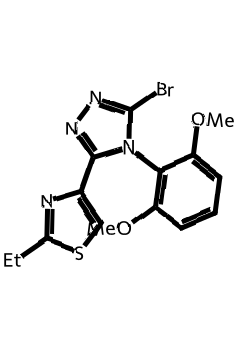 CCc1nc(-c2nnc(Br)n2-c2c(OC)cccc2OC)cs1